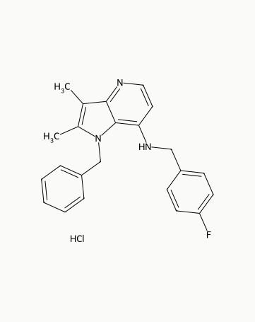 Cc1c(C)n(Cc2ccccc2)c2c(NCc3ccc(F)cc3)ccnc12.Cl